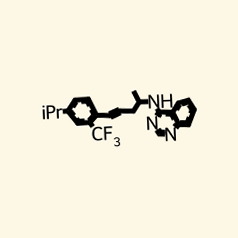 CC(CC#Cc1ccc(C(C)C)cc1C(F)(F)F)Nc1ncnc2ccccc12